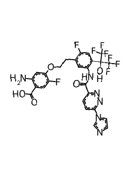 Nc1cc(OCCc2cc(NC(=O)c3ccc(-n4ccnc4)nn3)c(C(O)(C(F)(F)F)C(F)(F)F)cc2F)c(F)cc1C(=O)O